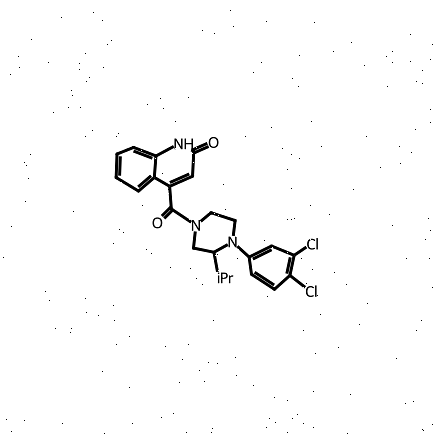 CC(C)C1CN(C(=O)c2cc(=O)[nH]c3ccccc23)CCN1c1ccc(Cl)c(Cl)c1